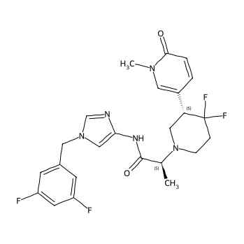 C[C@@H](C(=O)Nc1cn(Cc2cc(F)cc(F)c2)cn1)N1CCC(F)(F)[C@@H](c2ccc(=O)n(C)c2)C1